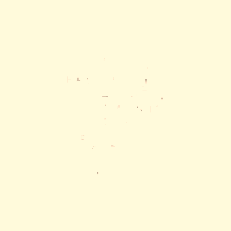 NC1(C(=O)O)CC2C(F)C(O)C[C@H]2C1CCCB(O)O